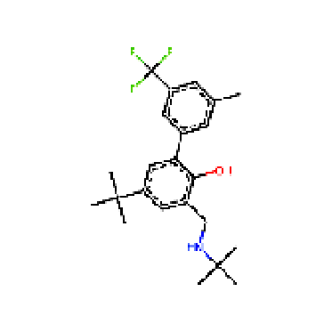 Cc1cc(-c2cc(C(C)(C)C)cc(CNC(C)(C)C)c2O)cc(C(F)(F)F)c1